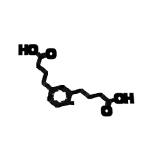 O=C(O)CCCc1[c]ccc(CCCC(=O)O)c1